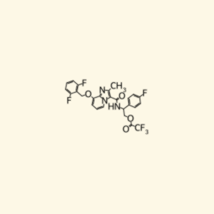 Cc1nc2c(OCc3c(F)cccc3F)cccn2c1C(=O)NC(COC(=O)C(F)(F)F)c1ccc(F)cc1